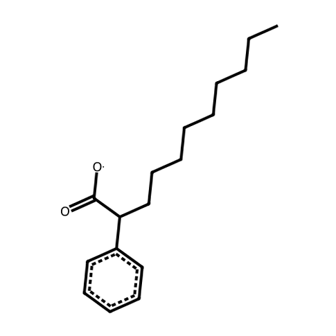 CCCCCCCCCC(C([O])=O)c1ccccc1